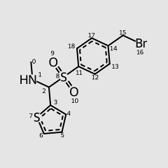 CNC(c1cccs1)S(=O)(=O)c1ccc(CBr)cc1